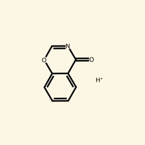 O=c1ncoc2ccccc12.[H+]